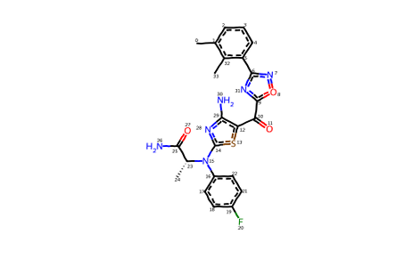 Cc1cccc(-c2noc(C(=O)c3sc(N(c4ccc(F)cc4)[C@H](C)C(N)=O)nc3N)n2)c1C